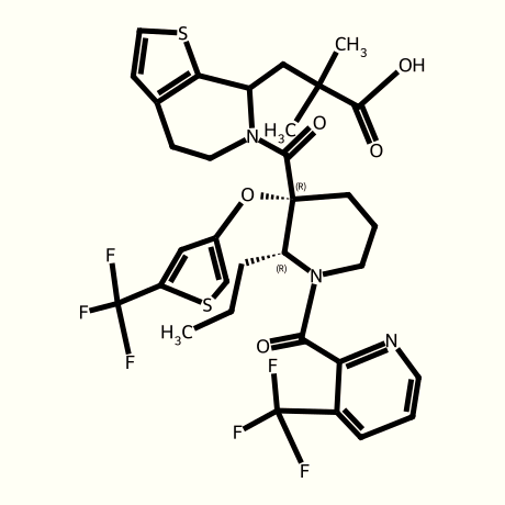 CCC[C@H]1N(C(=O)c2ncccc2C(F)(F)F)CCC[C@]1(Oc1csc(C(F)(F)F)c1)C(=O)N1CCc2ccsc2C1CC(C)(C)C(=O)O